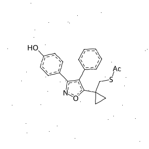 CC(=O)SCC1(c2onc(-c3ccc(O)cc3)c2-c2ccccc2)CC1